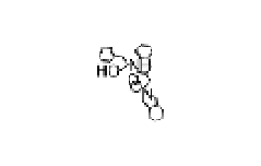 O=C(NC(CO)Cc1ccccc1)C(CC(=O)N1CC2CCCCC2C1)Cc1ccccc1